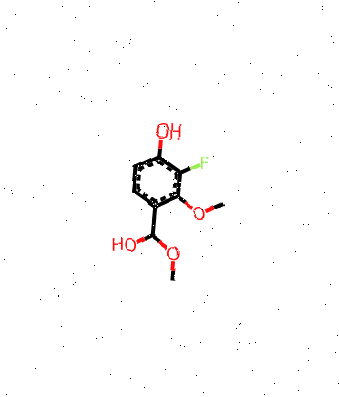 COc1c(C(O)OC)ccc(O)c1F